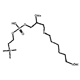 CCCCCCCCCCCCCCCCSCC(COP(=O)(O)OCC[N+](C)(C)C)OC